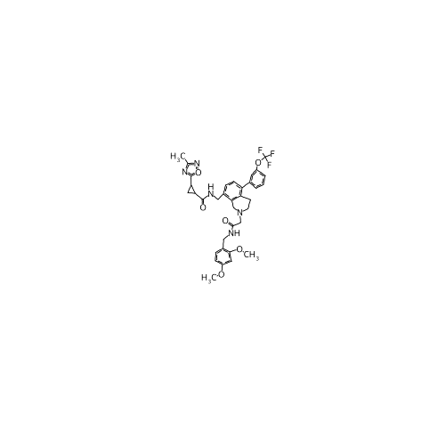 COc1ccc(CNC(=O)CN2CCc3c(-c4cccc(OC(F)(F)F)c4)ccc(CNC(=O)C4CC4c4nc(C)no4)c3C2)c(OC)c1